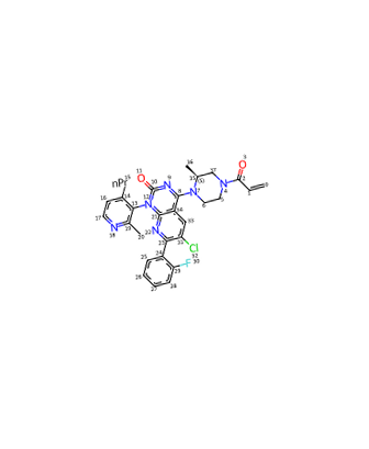 C=CC(=O)N1CCN(c2nc(=O)n(-c3c(CCC)ccnc3C)c3nc(-c4ccccc4F)c(Cl)cc23)[C@@H](C)C1